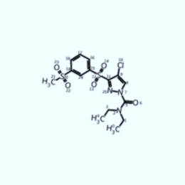 CCN(CC)C(=O)n1cc(Cl)c(S(=O)(=O)c2cccc(S(C)(=O)=O)c2)n1